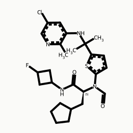 Cc1ncc(Cl)cc1NC(C)(C)c1ccc(N(C=O)[C@@H](CC2CCCC2)C(=O)NC2CC(F)C2)s1